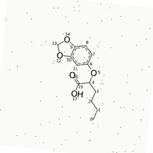 CCCCC(Oc1ccc2c(c1)OCO2)C(=O)O